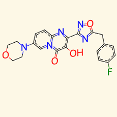 O=c1c(O)c(-c2noc(Cc3ccc(F)cc3)n2)nc2ccc(N3CCOCC3)cn12